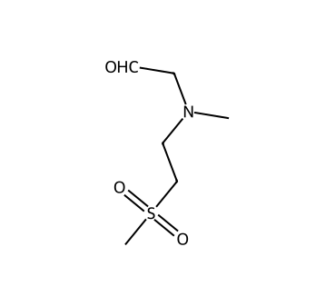 CN(CC=O)CCS(C)(=O)=O